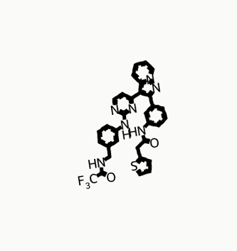 O=C(Cc1cccs1)Nc1cccc(-c2nn3ccccc3c2-c2ccnc(Nc3cccc(CNC(=O)C(F)(F)F)c3)n2)c1